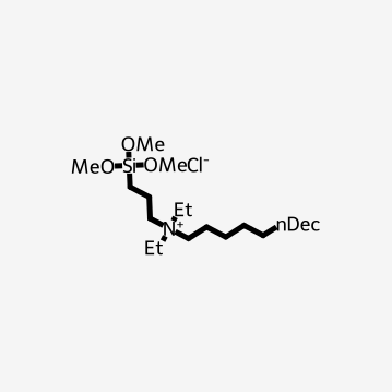 CCCCCCCCCCCCCCC[N+](CC)(CC)CCC[Si](OC)(OC)OC.[Cl-]